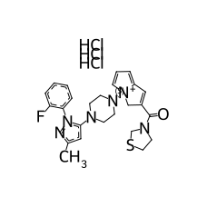 Cc1cc(N2CCN([N@@+]34C=CC=C3C=C(C(=O)N3CCSC3)C4)CC2)n(-c2ccccc2F)n1.Cl.Cl.Cl